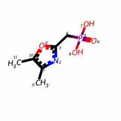 Cc1nc(CP(=O)(O)O)oc1C